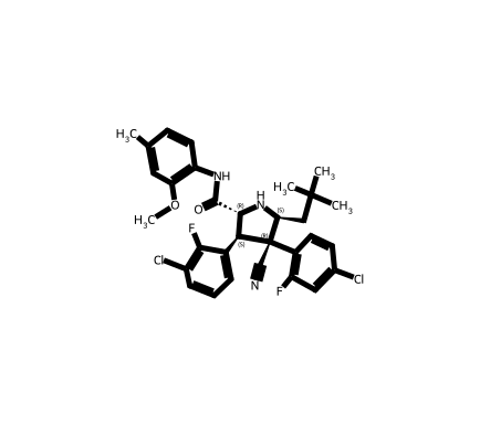 COc1cc(C)ccc1NC(=O)[C@@H]1N[C@@H](CC(C)(C)C)[C@](C#N)(c2ccc(Cl)cc2F)[C@H]1c1cccc(Cl)c1F